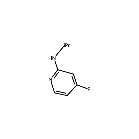 CC(C)Nc1cc(F)ccn1